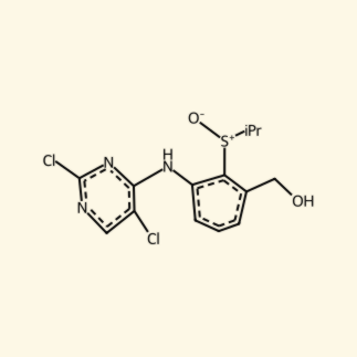 CC(C)[S+]([O-])c1c(CO)cccc1Nc1nc(Cl)ncc1Cl